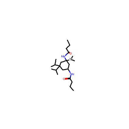 CCCC(=O)NC1CC(C(C)C)(C(C)C)C[C](NC(=O)CCC)([Ti]([CH3])[CH3])C1